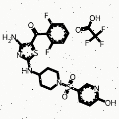 Nc1nc(NC2CCN(S(=O)(=O)c3ccc(O)nc3)CC2)sc1C(=O)c1c(F)cccc1F.O=C(O)C(F)(F)F